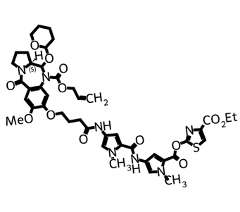 C=CCOC(=O)N1c2cc(OCCCC(=O)Nc3cc(C(=O)Nc4cc(C(=O)Oc5nc(C(=O)OCC)cs5)n(C)c4)n(C)c3)c(OC)cc2C(=O)N2CCC[C@H]2C1OC1CCCCO1